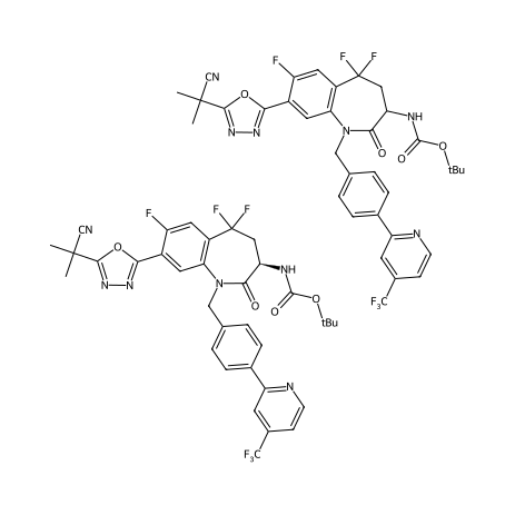 CC(C)(C)OC(=O)NC1CC(F)(F)c2cc(F)c(-c3nnc(C(C)(C)C#N)o3)cc2N(Cc2ccc(-c3cc(C(F)(F)F)ccn3)cc2)C1=O.CC(C)(C)OC(=O)N[C@@H]1CC(F)(F)c2cc(F)c(-c3nnc(C(C)(C)C#N)o3)cc2N(Cc2ccc(-c3cc(C(F)(F)F)ccn3)cc2)C1=O